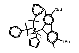 Cc1cc2c(cc1C(C)(C)C)-c1cc(C(C)(C)C)c(C)cc1[CH]2[Zr]([Cl])([Cl])(=[C](C(C)(C)c1ccccc1)C(C)(C)c1ccccc1)[CH]1C=CC=C1